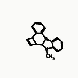 CN1c2ccccc2N2c3ccccc3C3C=CC3C12